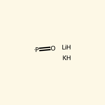 O=[P].[KH].[LiH]